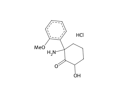 COc1ccccc1C1(N)CCCC(O)C1=O.Cl